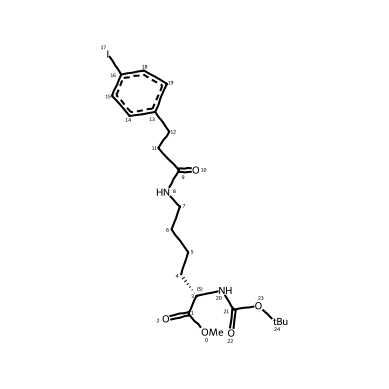 COC(=O)[C@H](CCCCNC(=O)CCc1ccc(I)cc1)NC(=O)OC(C)(C)C